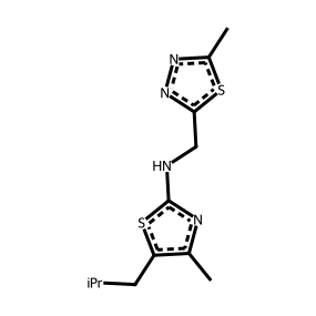 Cc1nnc(CNc2nc(C)c(CC(C)C)s2)s1